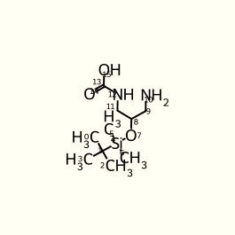 CC(C)(C)[Si](C)(C)OC(CN)CNC(=O)O